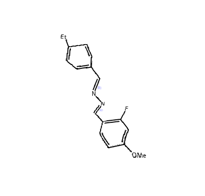 CCc1ccc(/C=N/N=C/c2ccc(OC)cc2F)cc1